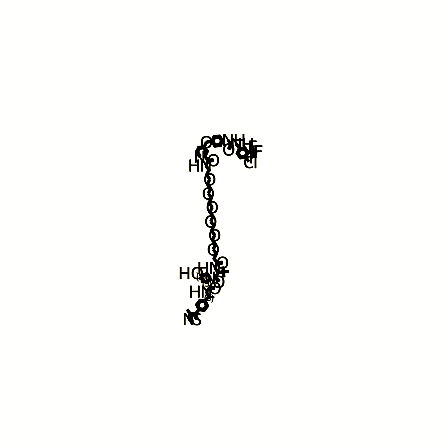 Cc1ncsc1-c1ccc([C@H](C)NC(=O)[C@@H]2C[C@H](O)CN2C(=O)C(NC(=O)CCOCCOCCOCCOCCOCCOCCNC(=O)c2cc(Oc3ccc(NC(=O)Nc4ccc(Cl)c(C(F)(F)F)c4)cc3)ccn2)C(C)(C)C)cc1